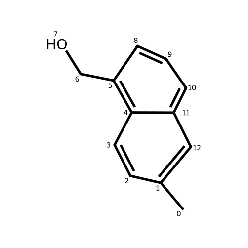 Cc1ccc2c(CO)cccc2c1